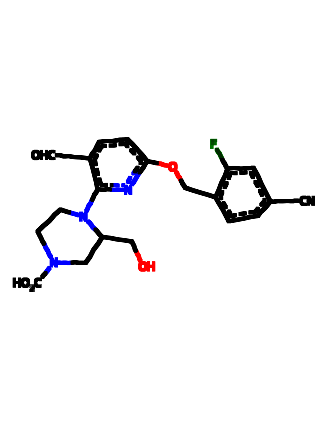 N#Cc1ccc(COc2ccc(C=O)c(N3CCN(C(=O)O)CC3CO)n2)c(F)c1